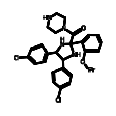 CC(C)Oc1ccccc1C1(C(=O)N2CCNCC2)NC(c2ccc(Cl)cc2)C(c2ccc(Cl)cc2)N1